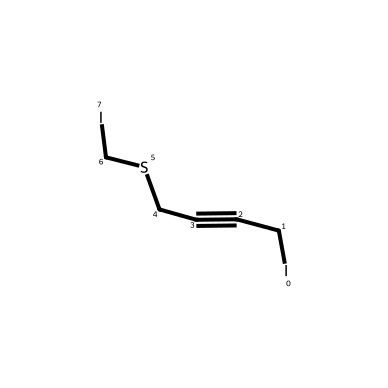 ICC#CCSCI